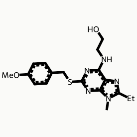 CCc1nc2c(NCCO)nc(SCc3ccc(OC)cc3)nc2n1C